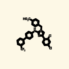 O=C(O)c1ccc(Cn2cc(-c3ccc(Cl)cc3Cl)nc2Nc2ccc(-c3cccc(C(F)(F)F)c3)cc2)cc1